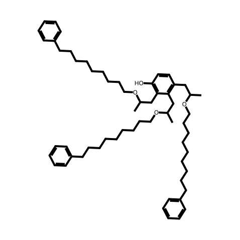 CC(Cc1ccc(O)c(CC(C)OCCCCCCCCCc2ccccc2)c1CC(C)OCCCCCCCCCc1ccccc1)OCCCCCCCCCc1ccccc1